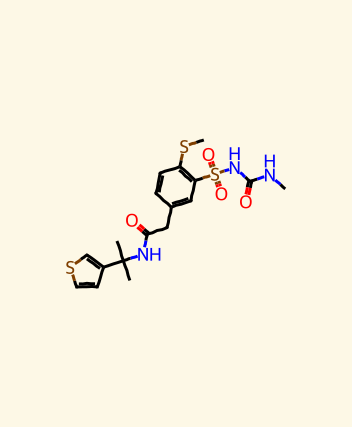 CNC(=O)NS(=O)(=O)c1cc(CC(=O)NC(C)(C)c2ccsc2)ccc1SC